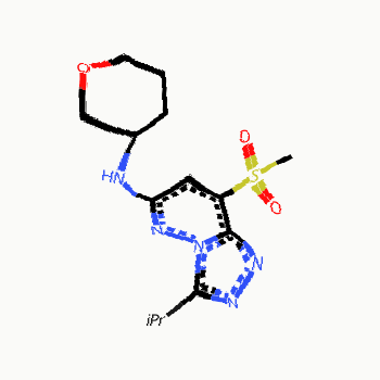 CC(C)c1nnc2c(S(C)(=O)=O)cc(N[C@@H]3CCCOC3)nn12